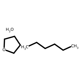 C1CCOC1.CCCCCC.O